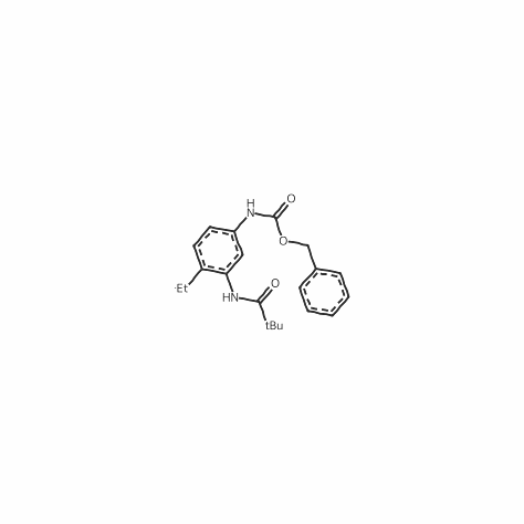 C[CH]c1ccc(NC(=O)OCc2ccccc2)cc1NC(=O)C(C)(C)C